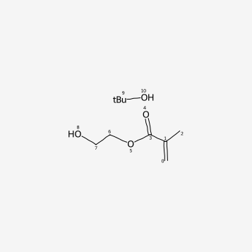 C=C(C)C(=O)OCCO.CC(C)(C)O